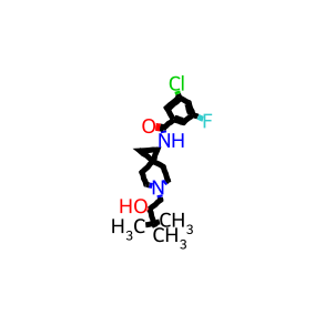 CC(C)(C)C(O)CN1CCC2(CC1)C[C@@H]2NC(=O)c1cc(F)cc(Cl)c1